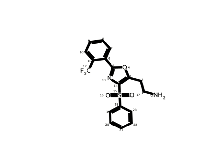 NCCc1oc(-c2ccccc2C(F)(F)F)nc1S(=O)(=O)c1ccccc1